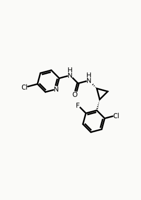 O=C(Nc1ccc(Cl)cn1)N[C@@H]1C[C@@H]1c1c(F)cccc1Cl